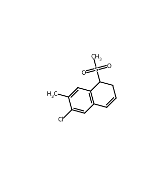 Cc1cc2c(cc1Cl)C=CCC2S(C)(=O)=O